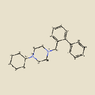 c1ccc(-c2ccccc2CN2CCN(C3CCCCC3)CC2)cc1